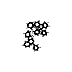 c1ccc(-c2cc3oc4c(N(c5ccccc5)c5cccc(C6(c7ccccc7)c7ccccc7-c7ccccc76)c5)cccc4c3c3ccccc23)cc1